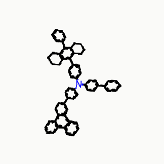 c1ccc(-c2ccc(N(c3ccc(-c4ccc5c6ccccc6c6ccccc6c5c4)cc3)c3ccc(-c4c5c(c(-c6ccccc6)c6c4CCCC6)CCCC5)cc3)cc2)cc1